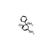 C.NC1=CC=CC(N)(c2ccccc2)C1